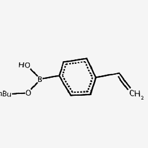 C=Cc1ccc(B(O)OCCCC)cc1